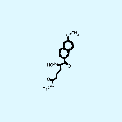 COC(=O)CCCC(=NO)C(=O)c1ccc2cc(OC)ccc2c1